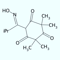 CC(C)/C(=N\O)C1C(=O)C(C)(C)C(=O)C(C)(C)C1=O